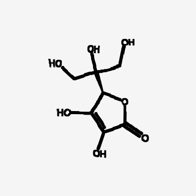 O=C1O[C@H](C(O)(CO)CO)C(O)=C1O